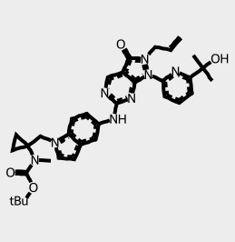 C=CCn1c(=O)c2cnc(Nc3ccc4c(ccn4CC4(N(C)C(=O)OC(C)(C)C)CC4)c3)nc2n1-c1cccc(C(C)(C)O)n1